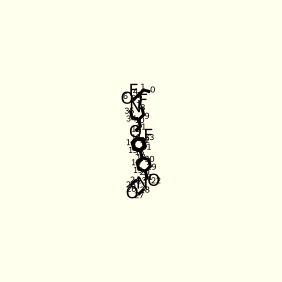 CCC(F)(F)C(=O)N1CCC(COc2ccc(C3=CCC(C(=O)N4CCOCC4)CC3)cc2F)CC1